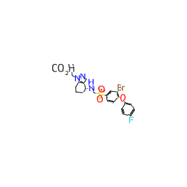 O=C(O)Cn1ncc2c1CCC[C@H]2NCS(=O)(=O)c1ccc(Oc2ccc(F)cc2)c(Br)c1